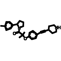 Cc1ccc(C2CCCN2C(=O)C(C)(C)Oc2ccc(C#CC3CCNCC3)cc2)cc1